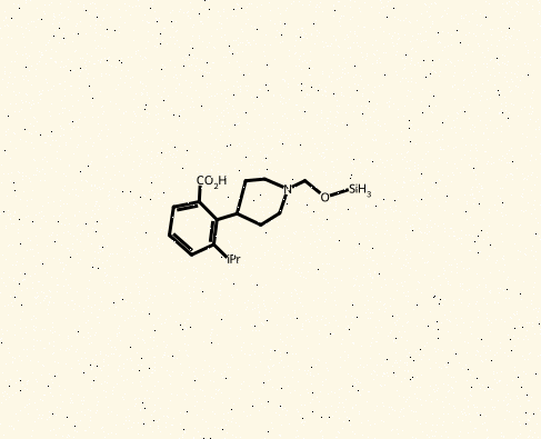 CC(C)c1cccc(C(=O)O)c1C1CCN(CO[SiH3])CC1